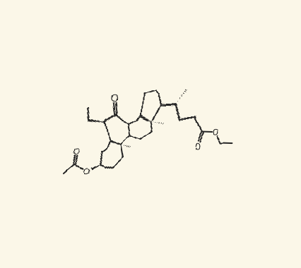 CCOC(=O)CC[C@@H](C)C1CCC2C3C(=O)[C@H](CC)C4C[C@H](OC(C)=O)CC[C@]4(C)C3CC[C@@]21C